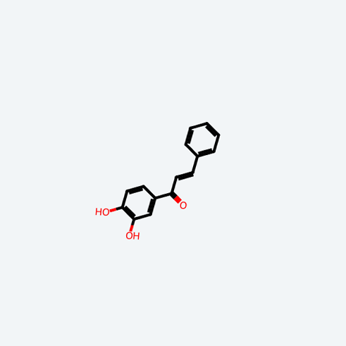 O=C(C=Cc1ccccc1)c1ccc(O)c(O)c1